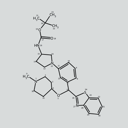 CN1CCC(OC(c2cccc(N3CCC(NC(=O)OC(C)(C)C)C3)c2)c2nc3ccccc3s2)CC1